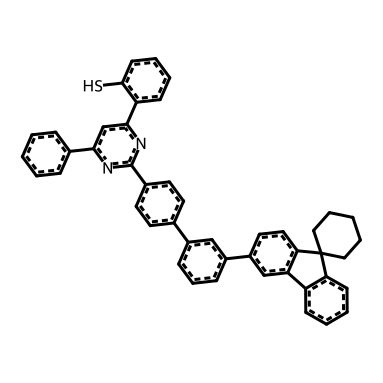 Sc1ccccc1-c1cc(-c2ccccc2)nc(-c2ccc(-c3cccc(-c4ccc5c(c4)-c4ccccc4C54CCCCC4)c3)cc2)n1